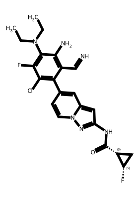 CCN(CC)c1c(N)c(C=N)c(-c2ccn3nc(NC(=O)[C@@H]4C[C@@H]4F)cc3c2)c(Cl)c1F